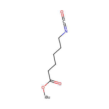 CCC(C)OC(=O)CCCCCN=C=O